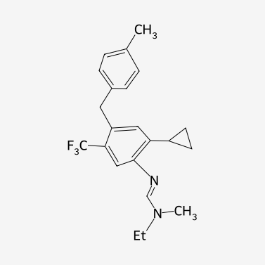 CCN(C)C=Nc1cc(C(F)(F)F)c(Cc2ccc(C)cc2)cc1C1CC1